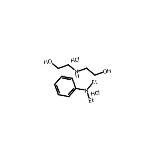 CCN(CC)c1ccccc1.Cl.Cl.OCCNCCO